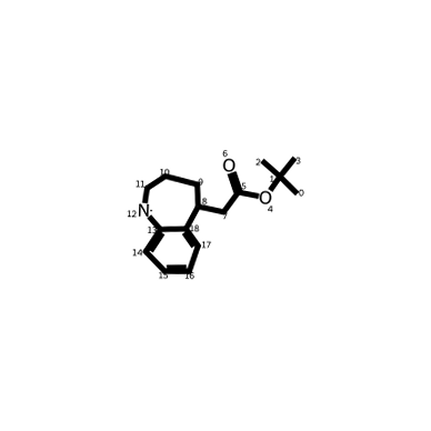 CC(C)(C)OC(=O)CC1CCC[N]c2ccccc21